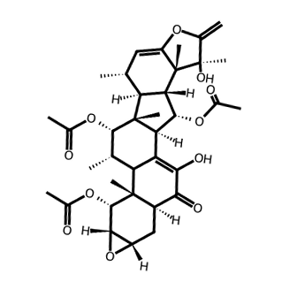 C=C1OC2=C[C@@H](C)[C@H]3[C@@H]([C@H](OC(C)=O)[C@H]4C5=C(O)C(=O)[C@H]6C[C@@H]7O[C@@H]7[C@H](OC(C)=O)[C@]6(C)C5[C@H](C)[C@H](OC(C)=O)[C@]34C)[C@@]2(C)[C@]1(C)O